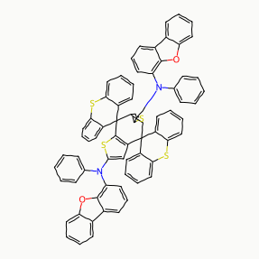 c1ccc(N(c2cc3c(s2)C2(c4ccccc4Sc4ccccc42)c2cc(N(c4ccccc4)c4cccc5c4oc4ccccc45)sc2C32c3ccccc3Sc3ccccc32)c2cccc3c2oc2ccccc23)cc1